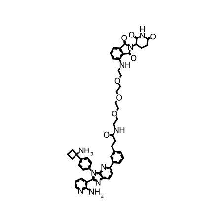 Nc1ncccc1-c1nc2ccc(-c3cccc(CCC(=O)NCCOCCOCCOCCNc4cccc5c4C(=O)N(C4CCC(=O)NC4=O)C5=O)c3)nc2n1-c1ccc(C2(N)CCC2)cc1